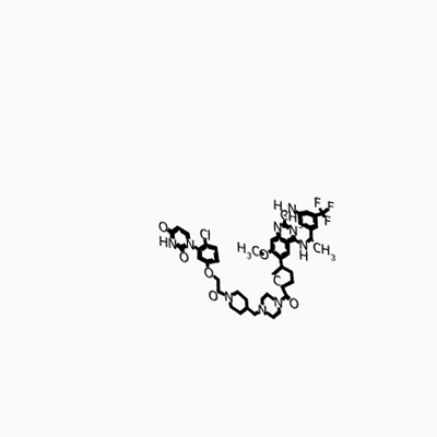 COc1cc2nc(C)nc(N[C@H](C)c3cc(N)cc(C(F)(F)F)c3)c2cc1C1CCC(C(=O)N2CCN(CC3CCN(C(=O)COc4ccc(Cl)c(-n5ccc(=O)[nH]c5=O)c4)CC3)CC2)CC1